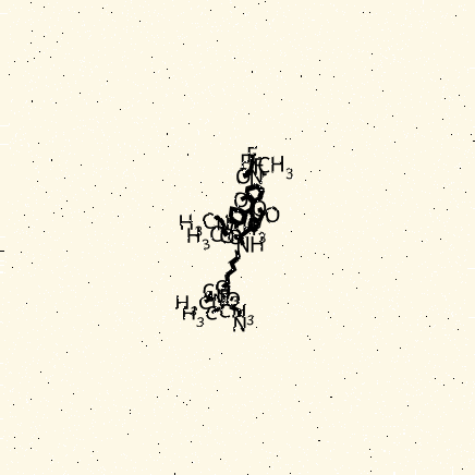 CCN(C(=O)C(F)(F)F)c1ccc2c(c1)Oc1cc(N(CC)C(C)=O)c(C)cc1C21OC(=O)c2ccc(C(=O)NCCCCCCOP(OCCC#N)N(C(C)C)C(C)C)cc21